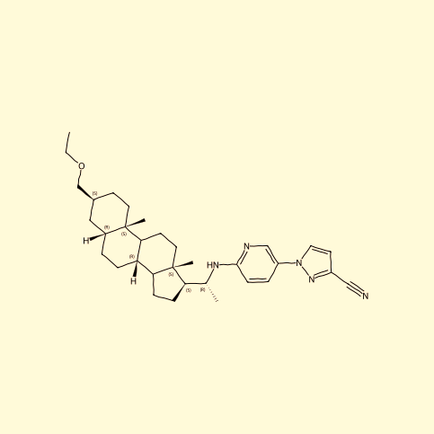 CCOC[C@H]1CC[C@]2(C)C3CC[C@@]4(C)C(CC[C@@H]4[C@@H](C)Nc4ccc(-n5ccc(C#N)n5)cn4)[C@@H]3CC[C@@H]2C1